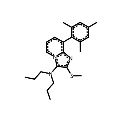 CCCN(CCC)c1c(SC)nc2c(-c3c(C)cc(C)cc3C)cccn12